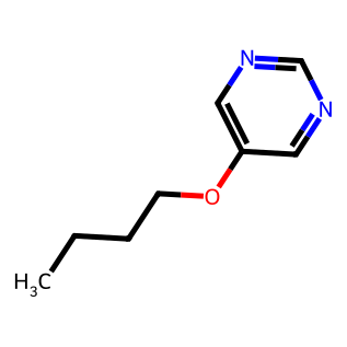 CCCCOc1cncnc1